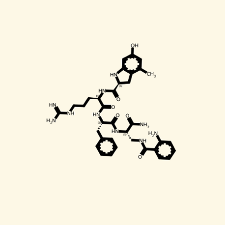 Cc1cc(O)cc2c1C[C@@H](C(=O)N[C@H](CCCNC(=N)N)C(=O)N[C@@H](Cc1ccccc1)C(=O)N[C@@H](CNC(=O)c1ccccc1N)C(N)=O)N2